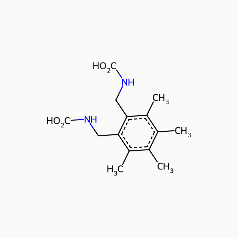 Cc1c(C)c(C)c(CNC(=O)O)c(CNC(=O)O)c1C